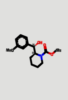 COc1cccc([C@H](O)[C@@H]2CCCCN2C(=O)OC(C)(C)C)c1